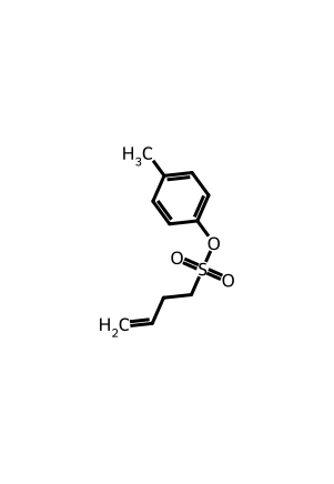 C=CCCS(=O)(=O)Oc1ccc(C)cc1